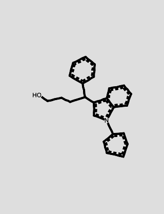 OCCCC(c1ccccc1)c1cn(-c2ccccc2)c2ccccc12